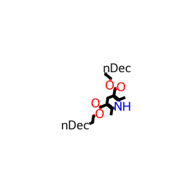 CCCCCCCCCCCCOC(=O)C1=C(C)NC(C)=C(C(=O)OCCCCCCCCCCCC)C1